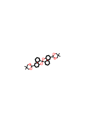 CC1(C)COB(c2ccc(OC(Oc3ccc(B4OCC(C)(C)CO4)cc3)(c3ccccc3)c3ccccc3)cc2)OC1